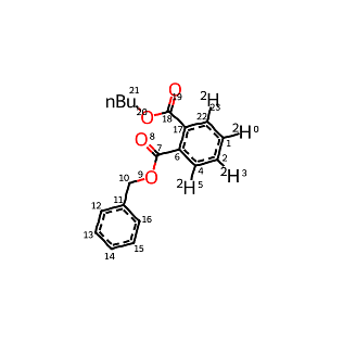 [2H]c1c([2H])c([2H])c(C(=O)OCc2ccccc2)c(C(=O)OCCCC)c1[2H]